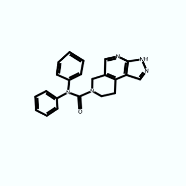 O=C(N1CCc2c(cnc3[nH]ncc23)C1)N(c1ccccc1)c1ccccc1